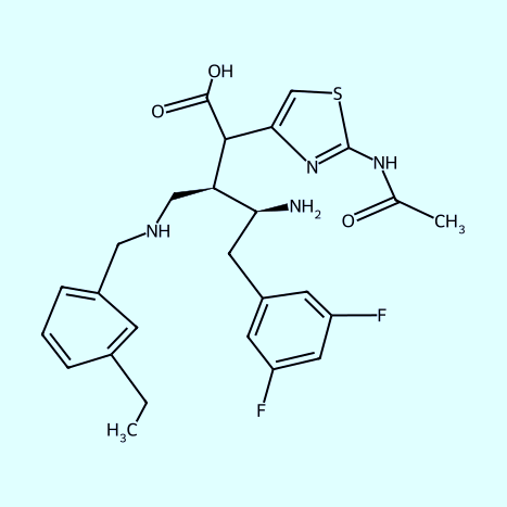 CCc1cccc(CNC[C@@H](C(C(=O)O)c2csc(NC(C)=O)n2)[C@@H](N)Cc2cc(F)cc(F)c2)c1